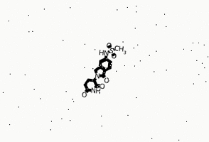 CS(=O)(=O)Nc1ccc2c(c1)CN(C1CCC(=O)NC1=O)C2=O